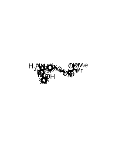 COC(=O)C(c1cc(OCCOCCN2CCC(n3nc(N)c4nnc(-c5ccccc5O)cc43)CC2)no1)C(C)C